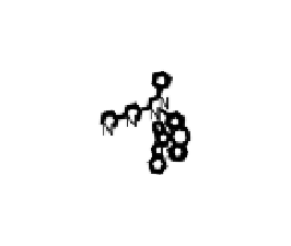 C1=Cc2ccc(-c3nc(-c4ccccc4)cc(-c4ccc(-c5cccnc5)nc4)n3)cc2C2(c3ccccc31)c1ccccc1-c1cc3ccccc3cc12